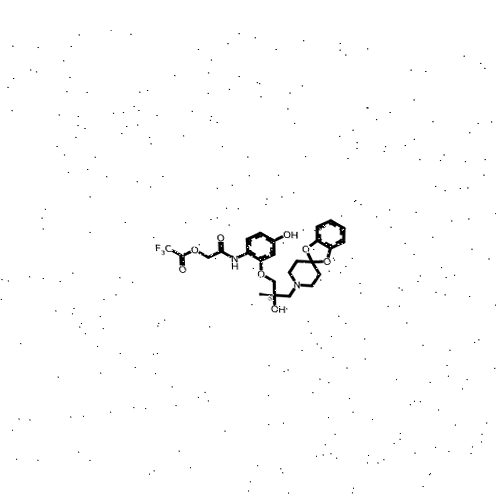 C[C@@](O)(COc1cc(O)ccc1NC(=O)COC(=O)C(F)(F)F)CN1CCC2(CC1)Oc1ccccc1O2